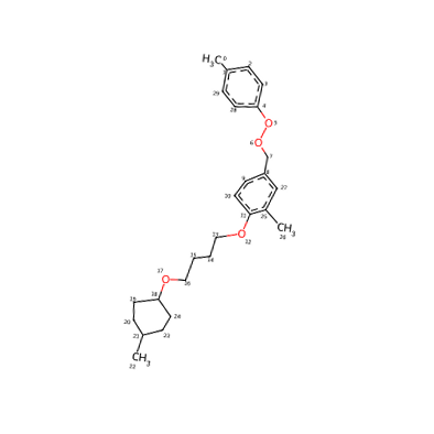 Cc1ccc(OOCc2ccc(OCCCCOC3CCC(C)CC3)c(C)c2)cc1